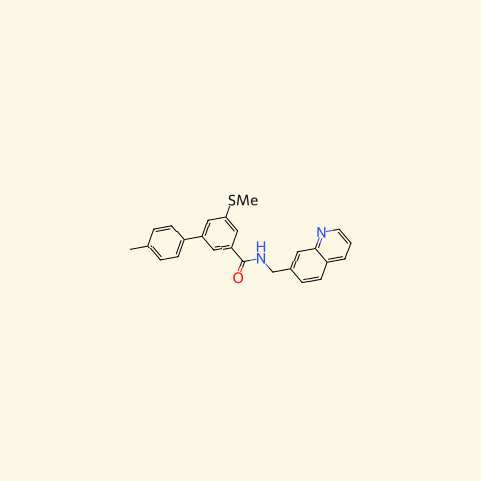 CSc1cc(C(=O)NCc2ccc3cccnc3c2)cc(-c2ccc(C)cc2)c1